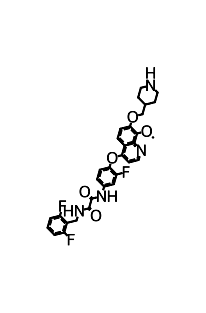 COc1c(OCC2CCNCC2)ccc2c(Oc3ccc(NC(=O)C(=O)NCc4c(F)cccc4F)cc3F)ccnc12